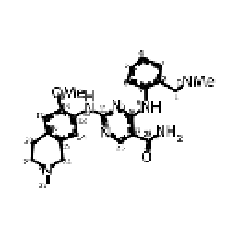 CNCc1ccccc1Nc1nc(Nc2cc3c(cc2OC)CCN(C)C3)ncc1C(N)=O